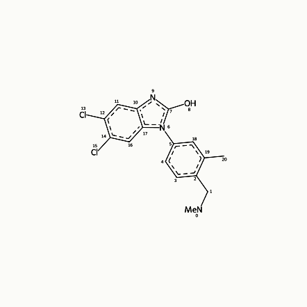 CNCc1ccc(-n2c(O)nc3cc(Cl)c(Cl)cc32)cc1C